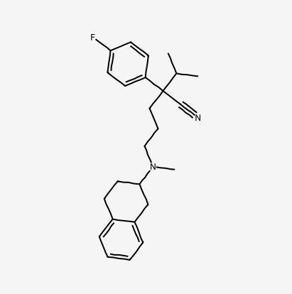 CC(C)C(C#N)(CCCN(C)C1CCc2ccccc2C1)c1ccc(F)cc1